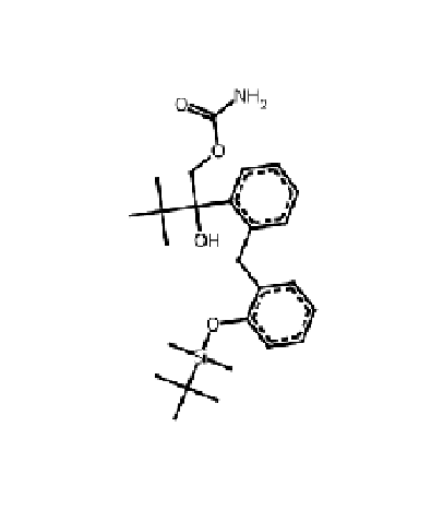 CC(C)(C)C(O)(COC(N)=O)c1ccccc1Cc1ccccc1O[Si](C)(C)C(C)(C)C